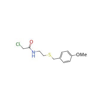 COc1ccc(CSCCNC(=O)CCl)cc1